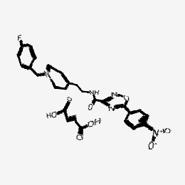 O=C(NCCC1=CCN(Cc2ccc(F)cc2)CC1)c1noc(-c2ccc([N+](=O)[O-])cc2)n1.O=C(O)C=CC(=O)O